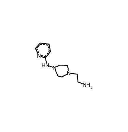 NCCN1CCN(Nc2ccccn2)CC1